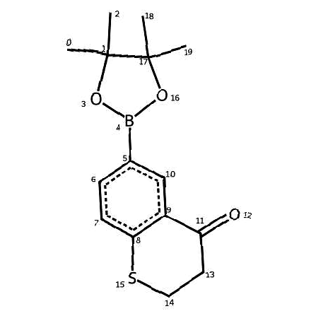 CC1(C)OB(c2ccc3c(c2)C(=O)CCS3)OC1(C)C